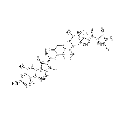 C=C1CCC(OC2CC(O)(C(C)NC(=O)c3[nH]c(C)c(Cl)c3Cl)C(O)C(C)O2)C(/C=C\C(C)C)C1C/C(O)=C1\C(=O)C(C(C)C)N(C2OC(C)C(OC(N)=O)C(OC(C)=O)C2OC)C1=O